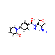 NC1COCC1NC(=O)c1ccc(-n2ccccc2=O)cc1F